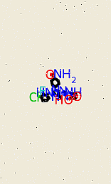 NC(=O)[C@H]1CC[C@H](n2c(Nc3cccc(Cl)c3F)nc3cnc(NC4COCC4O)nc32)CC1